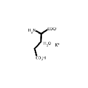 NC(CCC(=O)O)C(=O)[O-].O.[K+]